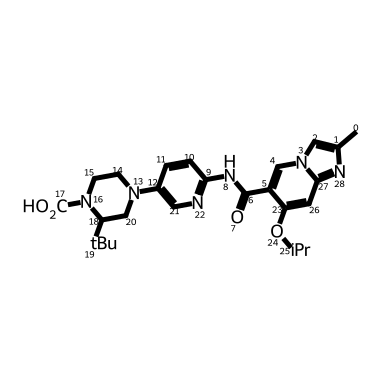 Cc1cn2cc(C(=O)Nc3ccc(N4CCN(C(=O)O)C(C(C)(C)C)C4)cn3)c(OC(C)C)cc2n1